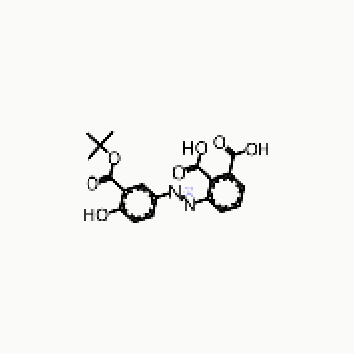 CC(C)(C)OC(=O)c1cc(/N=N/c2cccc(C(=O)O)c2C(=O)O)ccc1O